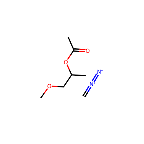 C=[N+]=[N-].COCC(C)OC(C)=O